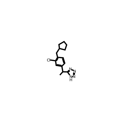 CC(c1ccc(CC2CCCC2)c(Cl)c1)c1nnn[nH]1